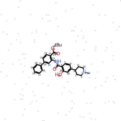 CN1CCC(c2ccc(C(=O)Nc3cc(-c4ccccc4)ccc3C(=O)OC(C)(C)C)c(O)c2)CC1